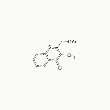 CC(=O)OCc1sc2ccccc2c(=O)c1C